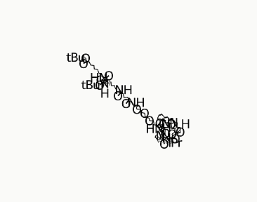 CC(C)[C@H](NC(=O)[C@@H]1CCCN1C(=O)[C@H](CC(=O)O)NC(=O)CCOCCOCCOCCNC(=O)CCCC(=O)NCCCC[C@H](NC(=O)OC(C)(C)C)C(=O)NCCCCCCCC(=O)OC(C)(C)C)C(=O)OC1=COCc2cn3cc4cc5ccccc5nc4c3cc21